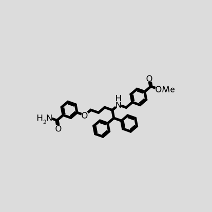 COC(=O)c1ccc(CNC(CCCOc2cccc(C(N)=O)c2)C(c2ccccc2)c2ccccc2)cc1